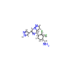 Cn1cc(-c2cn3nccc3c(-c3ccc(CN)c(F)c3F)n2)cn1